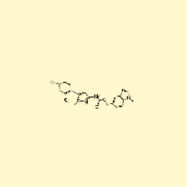 Cn1nc(NC(=O)OCc2ccc3c(c2)ncn3C)cc1-c1ccc(Cl)cc1Cl